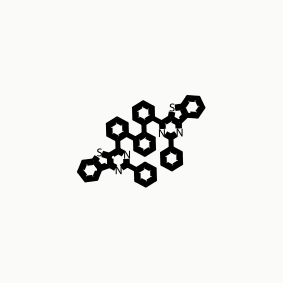 c1ccc(-c2nc(-c3ccccc3-c3ccccc3-c3ccccc3-c3nc(-c4ccccc4)nc4c3sc3ccccc34)c3sc4ccccc4c3n2)cc1